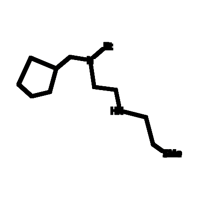 CCN(CCNCCSC)CC1CCCC1